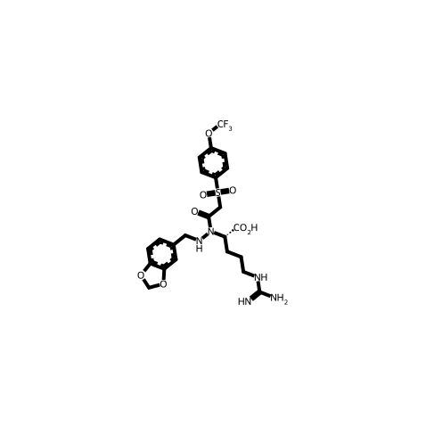 N=C(N)NCCC[C@@H](C(=O)O)N(NCc1ccc2c(c1)OCO2)C(=O)CS(=O)(=O)c1ccc(OC(F)(F)F)cc1